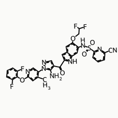 Cc1cc(Oc2c(F)cccc2F)ncc1-n1ncc(C(=O)c2cc3cc(OCC(F)F)c(NS(=O)(=O)c4cccc(C#N)n4)cc3[nH]2)c1N